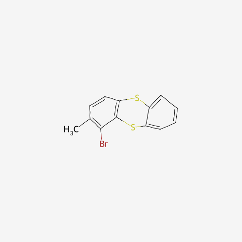 Cc1ccc2c(c1Br)Sc1ccccc1S2